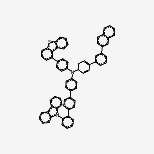 C1=CC(N(c2ccc(-c3ccc(-c4ccccc4-n4c5ccccc5c5ccccc54)cc3)cc2)c2ccc(-c3cccc4sc5ccccc5c34)cc2)CC=C1c1cccc(-c2ccc3ccccc3c2)c1